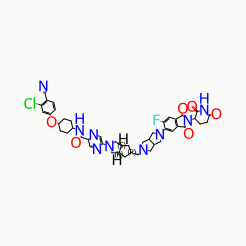 N#Cc1ccc(O[C@H]2CC[C@H](NC(=O)c3cnc(N4C[C@H]5C[C@@H](CN6CC7CN(c8cc9c(cc8F)C(=O)N(C8CCC(=O)NC8=O)C9=O)CC7C6)C[C@H]5C4)cn3)CC2)cc1Cl